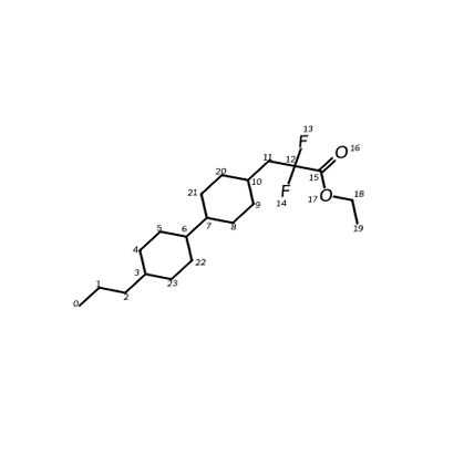 CCCC1CCC(C2CCC(CC(F)(F)C(=O)OCC)CC2)CC1